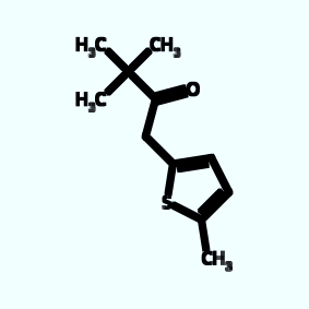 Cc1ccc(CC(=O)C(C)(C)C)s1